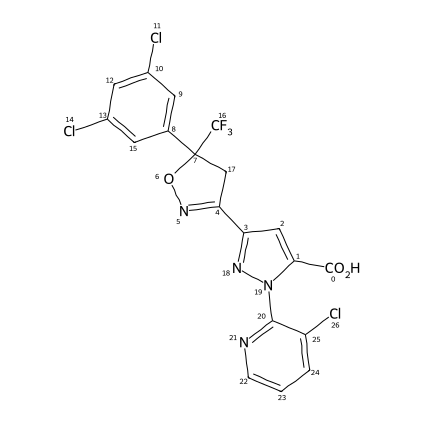 O=C(O)c1cc(C2=NOC(c3cc(Cl)cc(Cl)c3)(C(F)(F)F)C2)nn1-c1ncccc1Cl